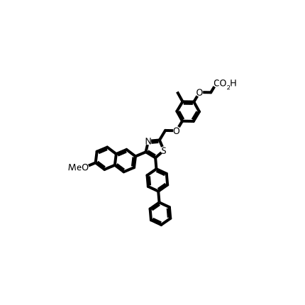 COc1ccc2cc(-c3nc(COc4ccc(OCC(=O)O)c(C)c4)sc3-c3ccc(-c4ccccc4)cc3)ccc2c1